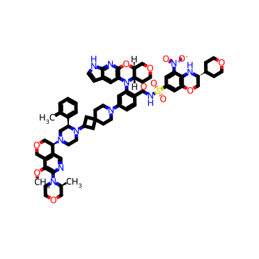 COc1c(N2CCOC[C@@H]2C)ncc2c1COC[C@H]2N1CCN(C2CC3(CCN(c4ccc(C(=O)NS(=O)(=O)c5cc6c(c([N+](=O)[O-])c5)N[C@H](C5CCOCC5)CO6)c(N5c6cc7cc[nH]c7nc6O[C@H]6COCC[C@@H]65)c4)CC3)C2)[C@H](c2ccccc2C)C1